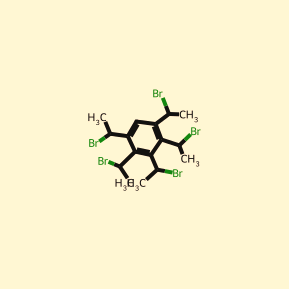 CC(Br)c1cc(C(C)Br)c(C(C)Br)c(C(C)Br)c1C(C)Br